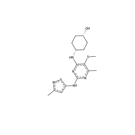 CSc1c(C)nc(Nc2cc(C)ns2)nc1N[C@H]1CC[C@@H](O)CC1